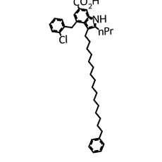 CCCc1[nH]c2cc(C(=O)O)cc(Cc3ccccc3Cl)c2c1CCCCCCCCCCCCCCCCc1ccccc1